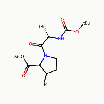 COC(=O)C1C(C(C)C)CCN1C(=O)[C@@H](NC(=O)OC(C)(C)C)C(C)(C)C